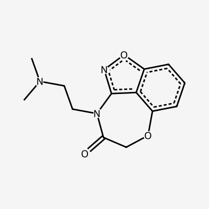 CN(C)CCN1C(=O)COc2cccc3onc1c23